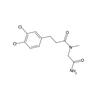 CN(CC(N)=O)C(=O)CCc1ccc(Cl)c(Cl)c1